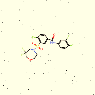 O=C(Nc1ccc(F)c(F)c1)c1ccc(F)c(S(=O)(=O)N2CCOCC(F)(F)C2)c1